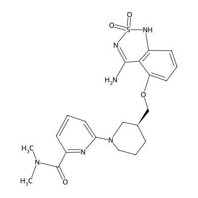 CN(C)C(=O)c1cccc(N2CCC[C@H](COc3cccc4c3C(N)=NS(=O)(=O)N4)C2)n1